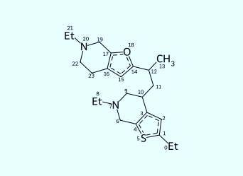 CCc1cc2c(s1)CN(CC)CC2CC(C)c1cc2c(o1)CN(CC)CC2